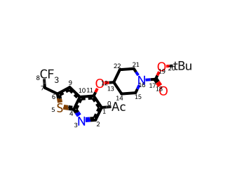 CC(=O)c1cnc2sc(CC(F)(F)F)cc2c1OC1CCN(C(=O)OC(C)(C)C)CC1